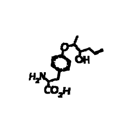 C=CCC(O)C(C)Oc1ccc(CC(N)C(=O)O)cc1